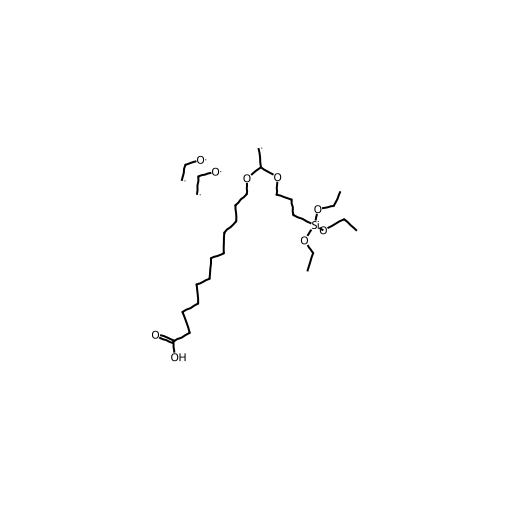 [CH2]C(OCCCCCCCCCCCC(=O)O)OCCC[Si](OCC)(OCC)OCC.[CH2]C[O].[CH2]C[O]